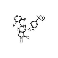 CC1(c2ccc(Nc3nc(-c4c(F)cccc4F)nc4c3C(=O)NC4)cc2)COC1